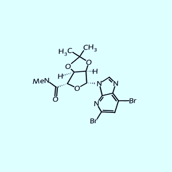 CNC(=O)[C@H]1O[C@@H](n2cnc3c(Br)cc(Br)nc32)[C@@H]2OC(C)(C)O[C@@H]21